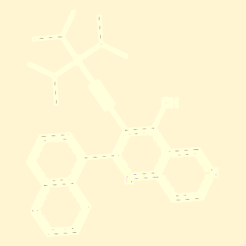 CC(C)[Si](C#Cc1c(-c2cccc3ccccc23)nc2ccncc2c1O)(C(C)C)C(C)C